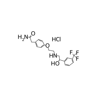 Cl.NC(=O)Cc1ccc(OCCNC[C@H](O)c2cccc(C(F)(F)F)c2)cc1